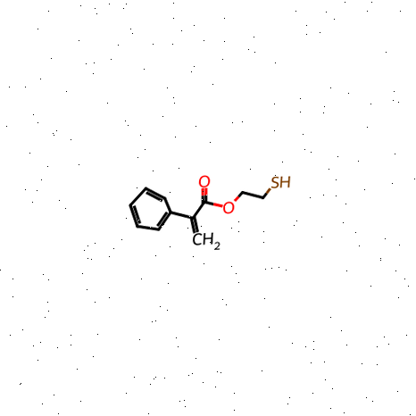 C=C(C(=O)OCCS)c1ccccc1